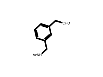 CC(=O)NCc1cccc(CC=O)c1